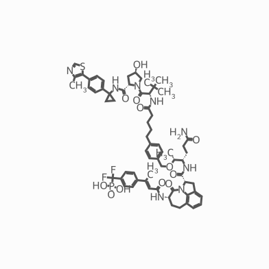 C/C(=C\C(=O)N[C@H]1CCc2cccc3c2N(C1=O)[C@H](C(=O)N[C@@H](CCC(N)=O)[C@@H](C)OCc1ccc(CCCCC(=O)N[C@H](C(=O)N2C[C@H](O)C[C@H]2C(=O)NC2(c4ccc(-c5scnc5C)cc4)CC2)C(C)(C)C)cc1)C3)c1ccc(C(F)(F)P(=O)(O)O)cc1